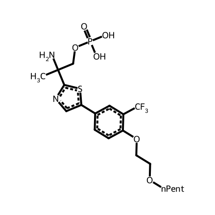 CCCCCOCCOc1ccc(-c2cnc(C(C)(N)COP(=O)(O)O)s2)cc1C(F)(F)F